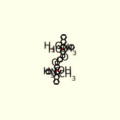 CC(C)(O)c1cc2ccccc2cc1N(c1ccccc1)c1ccc2c(c1)oc1cc3c(cc12)oc1cc(N(c2ccccc2)c2cc4ccccc4cc2C(C)(C)O)ccc13